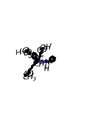 COC(=O)CCCCCC1(C)C(/C=C/C=C/Nc2ccccc2)=[N+](CCCS(=O)(=O)O)c2ccc(SOOO)cc21